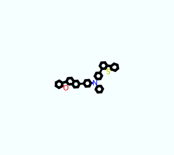 c1ccc(N(c2ccc(-c3ccc4c(ccc5c6ccccc6oc45)c3)cc2)c2ccc(-c3cccc4c3sc3ccccc34)cc2)cc1